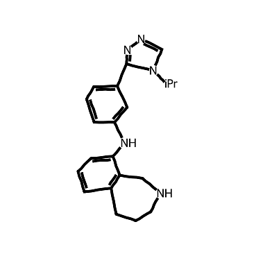 CC(C)n1cnnc1-c1cccc(Nc2cccc3c2CNCCC3)c1